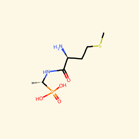 CSCC[C@H](N)C(=O)N[C@@H](C)P(=O)(O)O